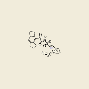 O=C(Nc1c2c(cc3c1CCC3)CCC2)NS(=O)(=O)/C=C/[C@H]1CCCN1C(=O)O